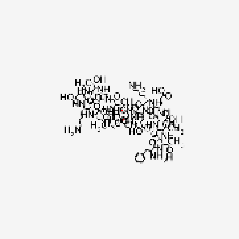 CC(C)C[C@H](NC(=O)[C@H](CCCCN)NC(=O)[C@H](CC(=O)O)NC(=O)[C@@H](NC(=O)CNC(=O)[C@@H](NC(=O)[C@@H](NC(=O)[C@@H](NC(=O)[C@H](CCC(=O)O)NC(=O)[C@H](CCCCN)NC(=O)[C@H](CCC(=O)O)NC(=O)[C@H](CC(=O)O)NC(=O)[C@@H](NC(=O)[C@@H](NC(=O)[C@@H](N)Cc1ccccc1)[C@@H](C)O)C(C)C)C(C)C)C(C)C)C(C)C)[C@@H](C)O)C(=O)O